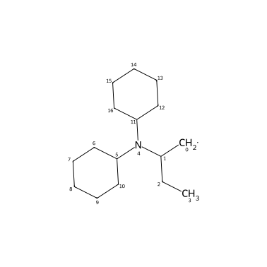 [CH2]C(CC)N(C1CCCCC1)C1CCCCC1